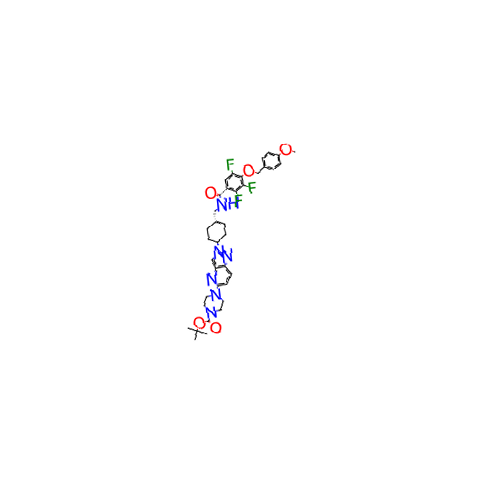 COc1ccc(COc2c(F)cc(C(=O)NC[C@H]3CC[C@H](n4cc5nc(N6CCN(C(=O)OC(C)(C)C)CC6)ccc5n4)CC3)c(F)c2F)cc1